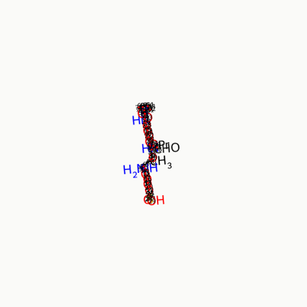 CC(CCCCC/C(=C/N)NCCOCCOCCOCCOCCCCS(=O)O)OCCCCCC(CCOCCOCCOCCOCCNC(=O)CCC(=O)N1Cc2ccccc2C#Cc2ccccc21)C(=O)NC(C=O)C(C)C